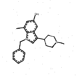 Cc1cc(O)cc2c(C3CCN(C)CC3)cn(Cc3ccccc3)c12